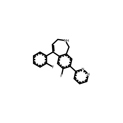 Fc1ccccc1C1=CCNCc2cc(-c3cccnn3)c(F)cc21